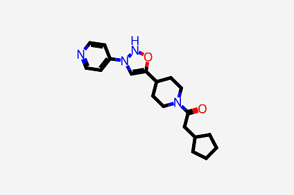 O=C(CC1CCCC1)N1CCC(C2=CN(c3ccncc3)NO2)CC1